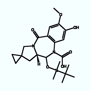 COc1cc2c(cc1O)N(C(=O)O)C(O[Si](C)(C)C(C)(C)C)[C@@H]1CC3(CC3)CN1C2=O